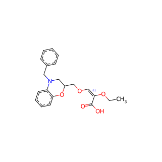 CCO/C(=C/OCC1CN(Cc2ccccc2)c2ccccc2O1)C(=O)O